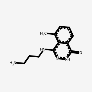 Cc1cccc2c(=O)[nH]nc(NCCCN)c12